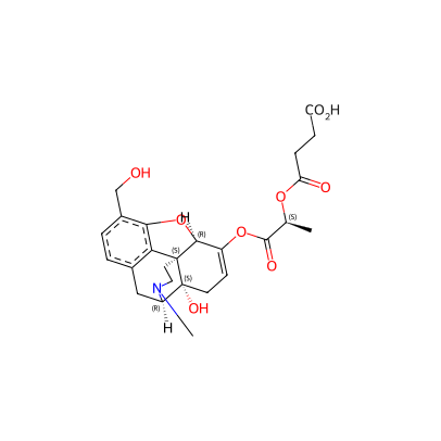 C[C@H](OC(=O)CCC(=O)O)C(=O)OC1=CC[C@@]2(O)[C@H]3Cc4ccc(CO)c5c4[C@@]2(CCN3C)[C@H]1O5